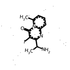 Cc1cccc2nc(C(C)N)c(I)c(=O)n12